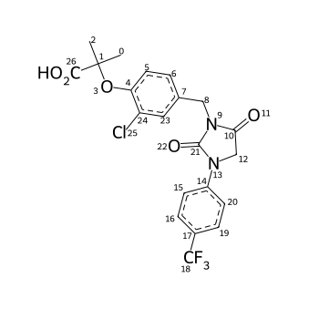 CC(C)(Oc1ccc(CN2C(=O)CN(c3ccc(C(F)(F)F)cc3)C2=O)cc1Cl)C(=O)O